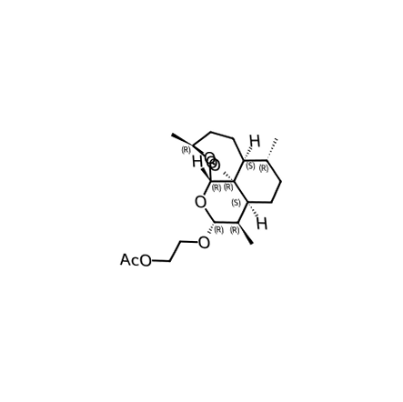 CC(=O)OCCO[C@@H]1O[C@@H]2O[C@@]3(C)CC[C@H]4[C@H](C)CC[C@@H]([C@H]1C)[C@@]24OO3